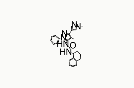 Cc1c(-c2cnn(C)c2)nn(-c2ccccc2)c1NC(=O)N[C@H]1CCCc2ccccc21